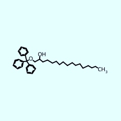 CCCCCCCCCCCCCCCC(O)COC(c1ccccc1)(c1ccccc1)c1ccccc1